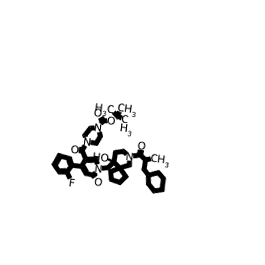 CC(CC1CCCCC1)C(=O)N1CC[C@@](O)(Cn2cc(C(=O)N3CCN(C(=O)OC(C)(C)C)CC3)c(-c3ccccc3F)cc2=O)C2(CCCC2)C1